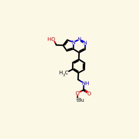 Cc1cc(-c2cnnn3cc(CO)cc23)ccc1CNC(=O)OC(C)(C)C